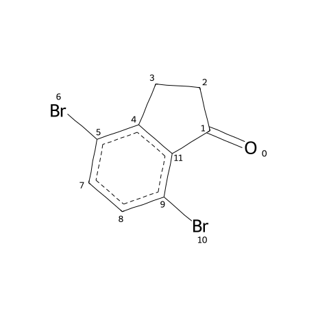 O=C1CCc2c(Br)ccc(Br)c21